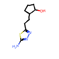 Nc1nnc(CCC2CCCC2O)s1